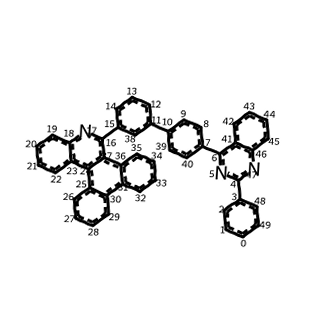 c1ccc(-c2nc(-c3ccc(-c4cccc(-c5nc6ccccc6c6c7ccccc7c7ccccc7c56)c4)cc3)c3ccccc3n2)cc1